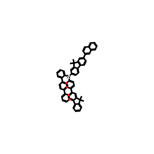 CC1(C)c2ccccc2-c2ccc(-c3ccc(N(c4ccc5c(c4)C(C)(C)c4cc(-c6ccc7ccccc7c6)ccc4-5)c4ccccc4-c4ccc(-c5ccccc5)cc4)cc3)cc21